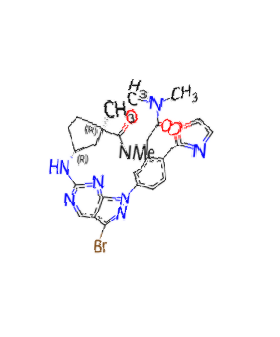 CNC(=O)[C@]1(C)CC[C@@H](Nc2ncc3c(Br)nn(-c4ccc(-c5ncco5)c(CC(=O)N(C)C)c4)c3n2)C1